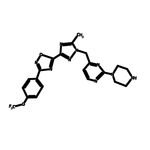 Cc1nc(-c2nc(-c3ccc(OC(F)(F)F)cc3)no2)nn1Cc1ccnc(N2CCNCC2)n1